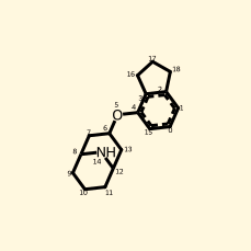 c1cc2c(c(OC3CC4CCCC(C3)N4)c1)CCC2